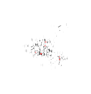 C=C(C)C(=O)OCCC[Si](O[Si](C)(C)C(C)[Si](O[Si](C)(C)C)(O[Si](C)(C)C)O[Si](C)(C)C)(O[Si](C)(C)C(C)[Si](O[Si](C)(C)C)(O[Si](C)(C)C)O[Si](C)(C)C)O[Si](C)(C)C(C)[Si](O[Si](C)(C)C)(O[Si](C)(C)C)O[Si](C)(C)C